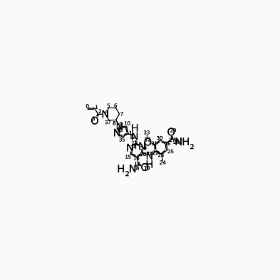 C=CC(=O)N1CCC[C@@H](n2cc(Nc3ncc(C(N)=O)c(Nc4c(C)cc(C(N)=O)cc4OC)n3)cn2)C1